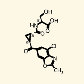 Cc1nc2c(Cl)cc(C(=O)[C@H]3C[C@@H]3C(=O)N[C@@H](CO)C(=O)O)cc2o1